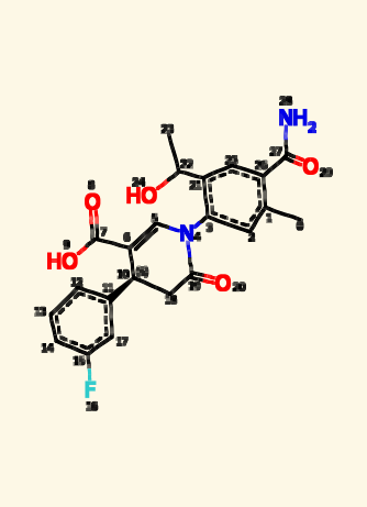 Cc1cc(N2C=C(C(=O)O)[C@H](c3cccc(F)c3)CC2=O)c(C(C)O)cc1C(N)=O